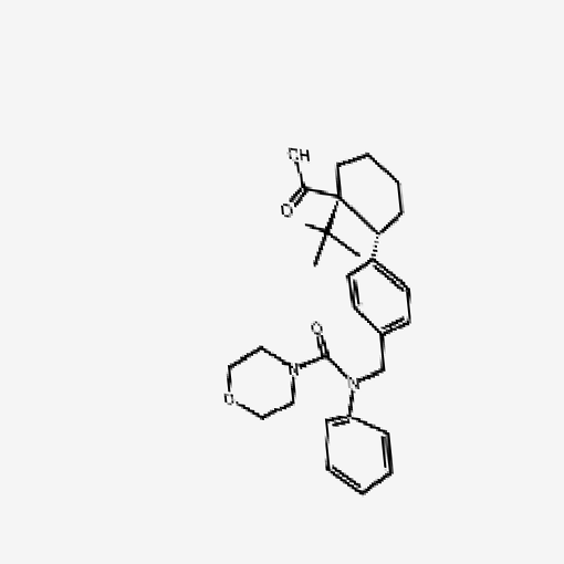 CC(C)(C)[C@@]1(C(=O)O)CCCC[C@@H]1c1ccc(CN(C(=O)N2CCOCC2)c2ccccc2)cc1